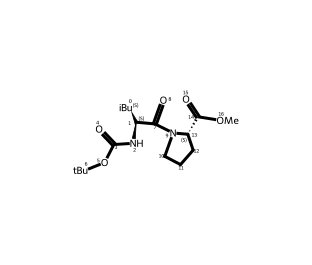 CC[C@H](C)[C@H](NC(=O)OC(C)(C)C)C(=O)N1CCC[C@H]1C(=O)OC